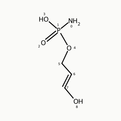 NP(=O)(O)OCC=CO